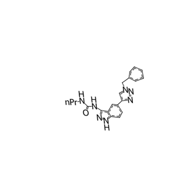 CCCNC(=O)Nc1n[nH]c2ccc(-c3cn(Cc4ccccc4)nn3)cc12